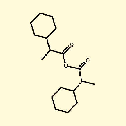 CC(C(=O)OC(=O)C(C)C1CCCCC1)C1CCCCC1